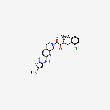 COc1cccc(Cl)c1CNC(=O)C(=O)N1CCc2ccc(Nc3cc(C)n[nH]3)nc2C1